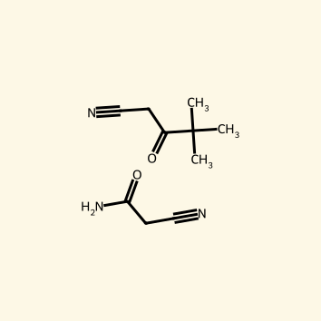 CC(C)(C)C(=O)CC#N.N#CCC(N)=O